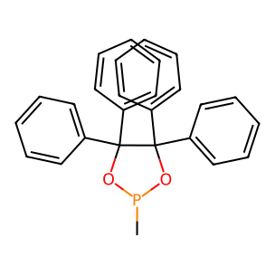 CP1OC(c2ccccc2)(c2ccccc2)C(c2ccccc2)(c2ccccc2)O1